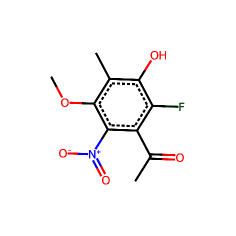 COc1c(C)c(O)c(F)c(C(C)=O)c1[N+](=O)[O-]